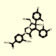 COC(=O)c1ccc(N2CN3C(=C(c4cccc(Cl)c4F)[C@@](C#N)(c4ccc(Cl)cc4F)[C@@H]3CC(C)(C)C)C2=O)c(OC)c1